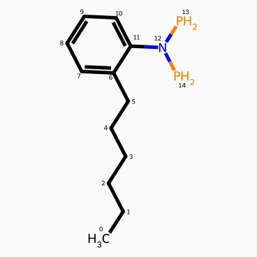 CCCCCCc1ccccc1N(P)P